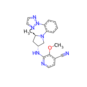 COc1c(C#N)ccnc1N[C@@H]1C[C@@H](C)N(c2ccccc2-n2nccn2)C1